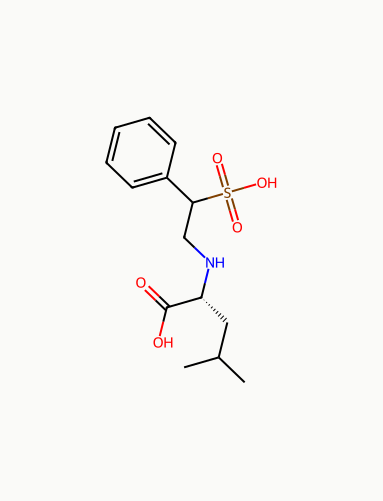 CC(C)C[C@@H](NCC(c1ccccc1)S(=O)(=O)O)C(=O)O